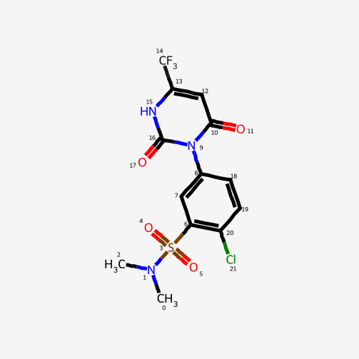 CN(C)S(=O)(=O)c1cc(-n2c(=O)cc(C(F)(F)F)[nH]c2=O)ccc1Cl